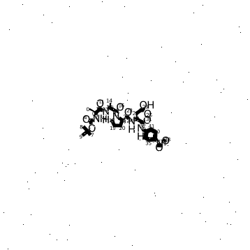 C[C@H](NC(=O)OC(C)(C)C)C(=O)N[C@@H](C)C(=O)N1CCC[C@H]1C(=O)N[C@@H](CC(=O)O)C(=O)Nc1ccc([N+](=O)[O-])cc1